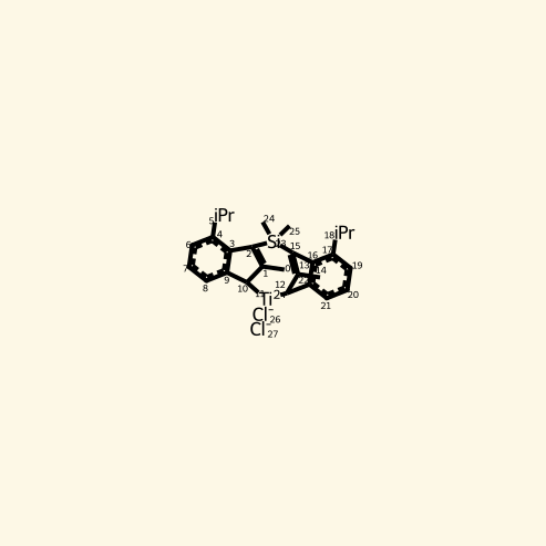 CC1=C2c3c(C(C)C)cccc3[CH]1[Ti+2][CH]1C(C)=C(c3c(C(C)C)cccc31)[Si]2(C)C.[Cl-].[Cl-]